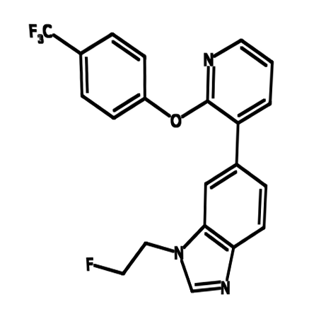 FCCn1cnc2ccc(-c3cccnc3Oc3ccc(C(F)(F)F)cc3)cc21